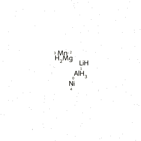 [AlH3].[LiH].[MgH2].[Mn].[Ni]